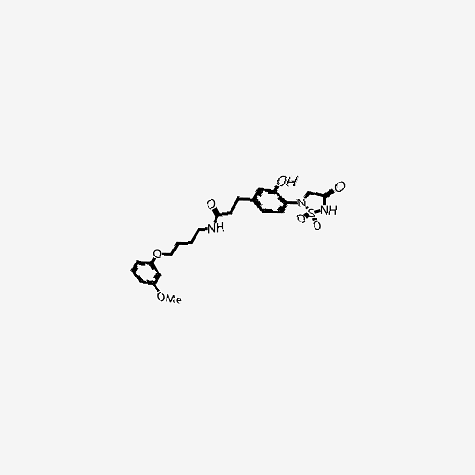 COc1cccc(OCCCCNC(=O)CCc2ccc(N3CC(=O)NS3(=O)=O)c(O)c2)c1